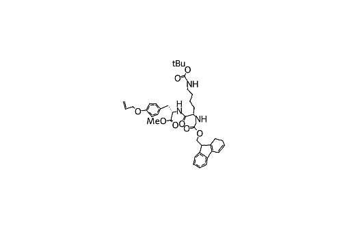 C=CCOc1ccc(C[C@H](NC(=O)[C@@H](CCCCNC(=O)OC(C)(C)C)NC(=O)OCC2C3=C(C=CCC3)c3ccccc32)C(=O)OC)cc1